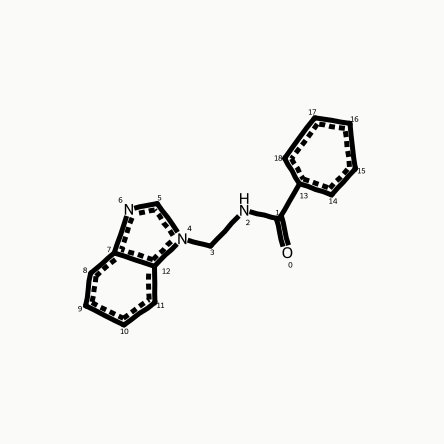 O=C(NCn1cnc2ccccc21)c1ccccc1